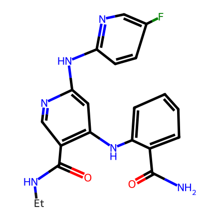 CCNC(=O)c1cnc(Nc2ccc(F)cn2)cc1Nc1ccccc1C(N)=O